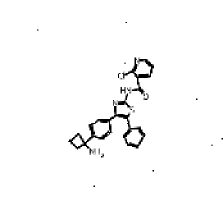 NC1(c2ccc(-c3nc(NC(=O)c4cccnc4Cl)sc3-c3ccccc3)cc2)CCC1